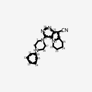 N#Cc1c2n(c3c(N4CCN(c5ccccc5)CC4)ncnc13)CCCC2